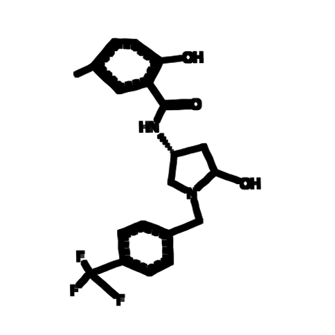 Cc1ccc(O)c(C(=O)N[C@@H]2CC(O)N(Cc3ccc(C(F)(F)F)cc3)C2)c1